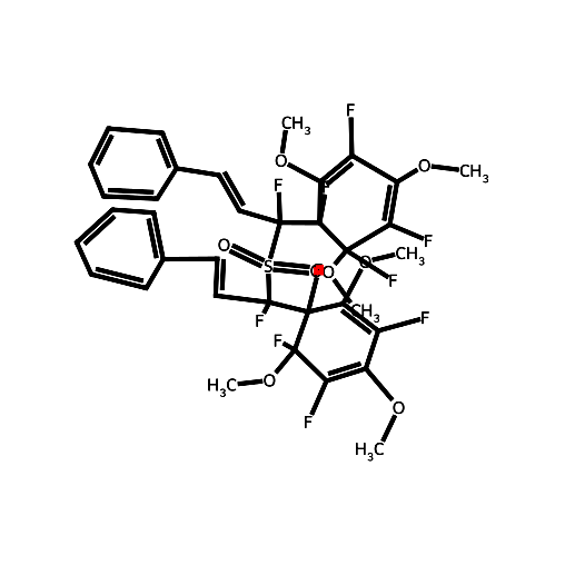 COC1=C(F)C(F)(OC)C(F)(C(F)(C=Cc2ccccc2)S(=O)(=O)C(F)(C=Cc2ccccc2)C2(F)C(OC)=C(F)C(OC)=C(F)C2(F)OC)C(OC)=C1F